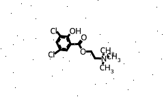 C[N+](C)(C)CCOC(=O)c1cc(Cl)cc(Cl)c1O